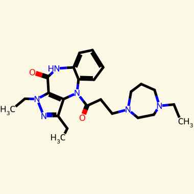 CCc1nn(CC)c2c1N(C(=O)CCN1CCCN(CC)CC1)c1ccccc1NC2=O